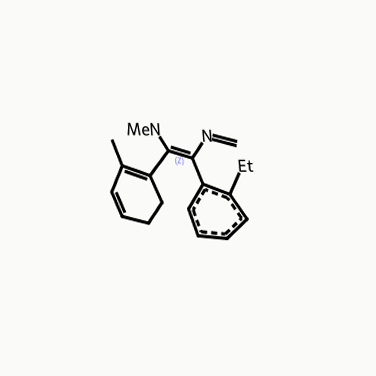 C=N/C(=C(\NC)C1=C(C)C=CCC1)c1ccccc1CC